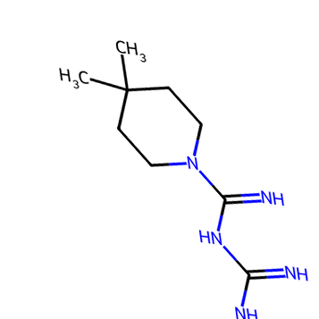 CC1(C)CCN(C(=N)NC(=N)N)CC1